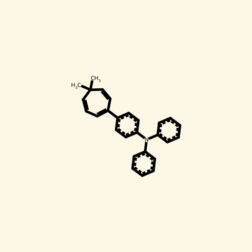 CC1(C)C=CC=C(c2ccc(N(c3ccccc3)c3ccccc3)cc2)C=C1